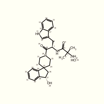 CC(C)(N)C(=O)N[C@H](Cc1c[nH]c2ccccc12)C(=O)N1CCC2(CC1)C[C@H](O)c1ccccc12.Cl